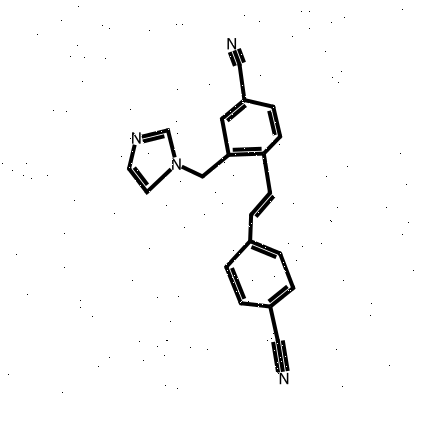 N#Cc1ccc(C=Cc2ccc(C#N)cc2Cn2ccnc2)cc1